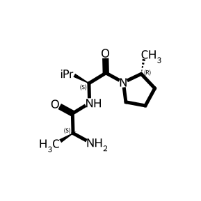 CC(C)[C@H](NC(=O)[C@H](C)N)C(=O)N1CCC[C@H]1C